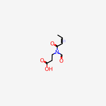 C/C=C\C(=O)N(C=O)CCC(=O)O